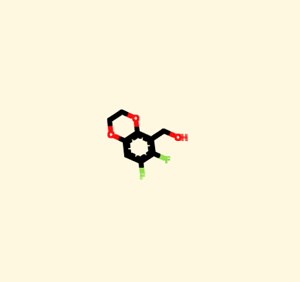 OCc1c(F)c(F)cc2c1OCCO2